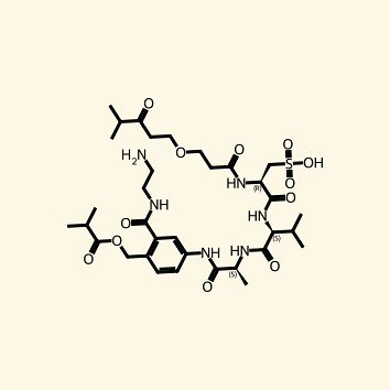 CC(C)C(=O)CCOCCC(=O)N[C@@H](CS(=O)(=O)O)C(=O)N[C@H](C(=O)N[C@@H](C)C(=O)Nc1ccc(COC(=O)C(C)C)c(C(=O)NCCN)c1)C(C)C